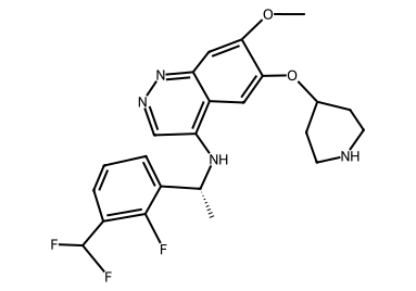 COc1cc2nncc(N[C@H](C)c3cccc(C(F)F)c3F)c2cc1OC1CCNCC1